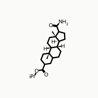 CC(C)OC(=O)C1CC[C@@]2(C)C(CC[C@@H]3[C@H]2CC[C@]2(C)C(C(N)=O)CC[C@@H]32)C1